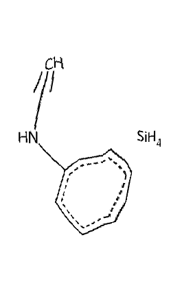 C#CNc1ccccc1.[SiH4]